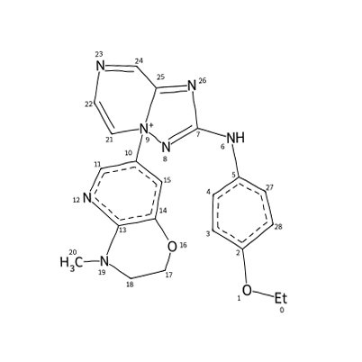 CCOc1ccc(NC2=N[N+]3(c4cnc5c(c4)OCCN5C)C=CN=CC3=N2)cc1